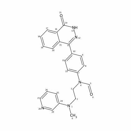 CN(CCN(C=O)c1ccc(-c2n[nH]c(=O)c3ccccc23)cc1)c1cccnc1